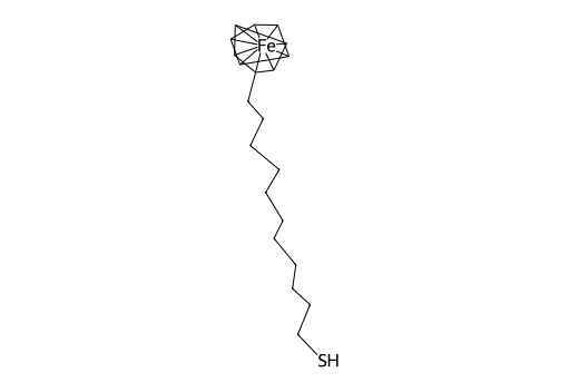 SCCCCCCCCCCC[C]12[CH]3[CH]4[CH]5[CH]1[Fe]45321678[CH]2[CH]1[CH]6[CH]7[CH]28